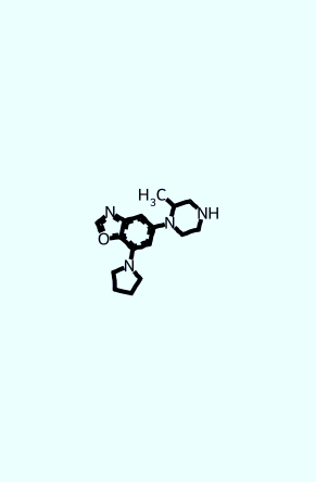 CC1CNCCN1c1cc(N2CCCC2)c2ocnc2c1